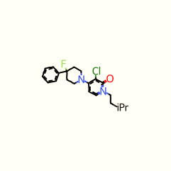 CC(C)CCn1ccc(N2CCC(F)(c3ccccc3)CC2)c(Cl)c1=O